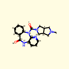 CN1CC2CN(C(=O)N3c4ccccc4C(=O)Nc4cccnc43)CC2C1